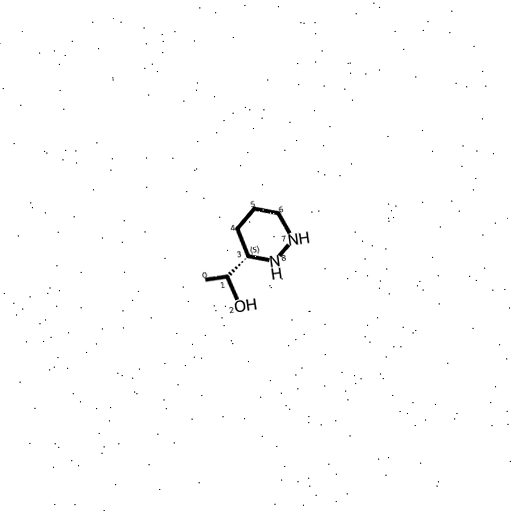 CC(O)[C@@H]1CCCNN1